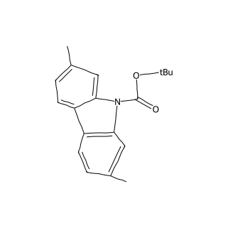 Cc1ccc2c3ccc(C)cc3n(C(=O)OC(C)(C)C)c2c1